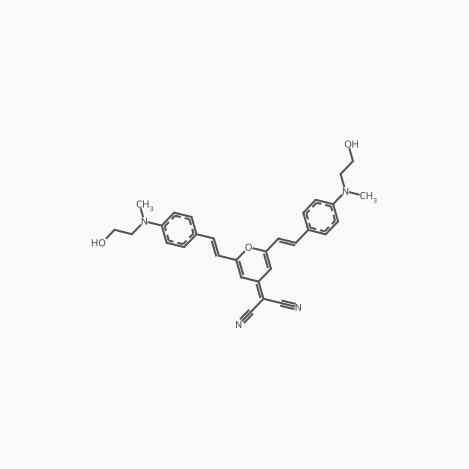 CN(CCO)c1ccc(/C=C/C2=CC(=C(C#N)C#N)C=C(/C=C/c3ccc(N(C)CCO)cc3)O2)cc1